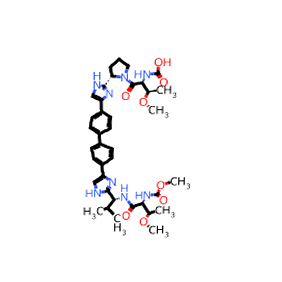 COC(=O)N[C@H](C(=O)N[C@@H](c1nc(-c2ccc(-c3ccc(-c4c[nH]c([C@@H]5CCCN5C(=O)[C@@H](NC(=O)O)[C@@H](C)OC)n4)cc3)cc2)c[nH]1)C(C)C)C(C)OC